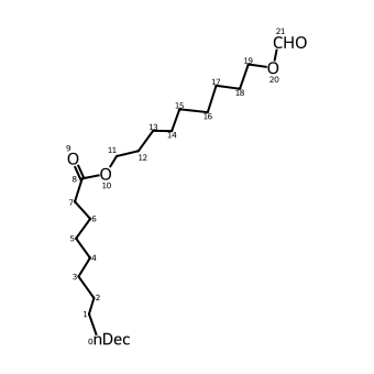 CCCCCCCCCCCCCCCCCC(=O)OCCCCCCCCCOC=O